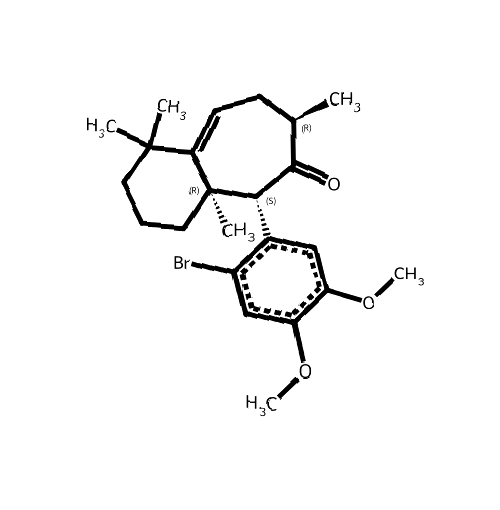 COc1cc(Br)c([C@H]2C(=O)[C@H](C)CC=C3C(C)(C)CCC[C@@]32C)cc1OC